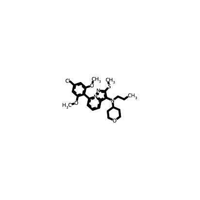 CCCN(c1c(SC)nn2c(-c3c(OC)cc(Cl)cc3OC)cccc12)C1CCOCC1